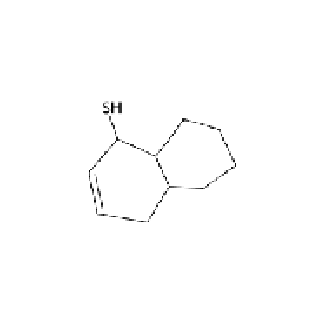 SC1C=CCC2CCCCC12